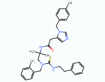 CC(C)(CN(Cc1ccccc1C(F)(F)F)C(=S)NCCc1ccccc1)NC(=O)Cc1cncn1Cc1ccc(C#N)cc1